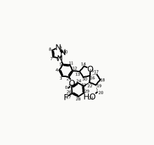 COc1ccc(-n2ccnn2)cc1C1CO[C@]2(CC[C@H](CO)[C@H]2c2ccc(F)cc2)C1